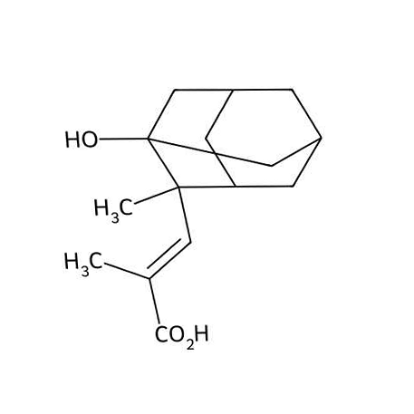 CC(=CC1(C)C2CC3CC(C2)CC1(O)C3)C(=O)O